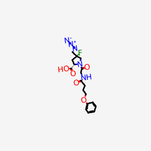 [N-]=[N+]=NC[C@@]1(F)C[C@@H](C(=O)O)N(C(=O)CNC(=O)CCCOc2ccccc2)C1